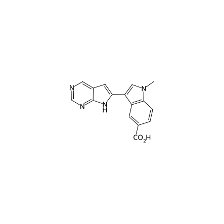 Cn1cc(-c2cc3cncnc3[nH]2)c2cc(C(=O)O)ccc21